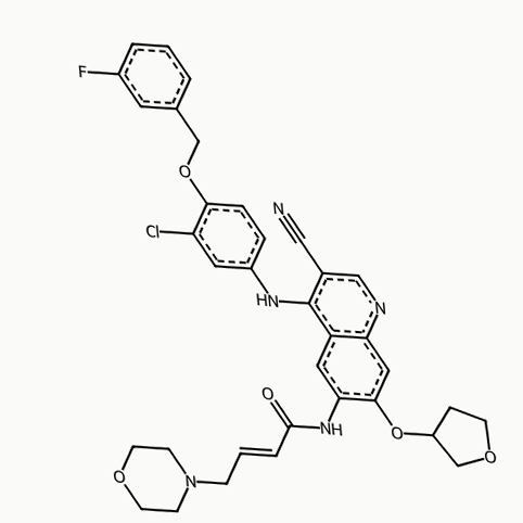 N#Cc1cnc2cc(OC3CCOC3)c(NC(=O)/C=C/CN3CCOCC3)cc2c1Nc1ccc(OCc2cccc(F)c2)c(Cl)c1